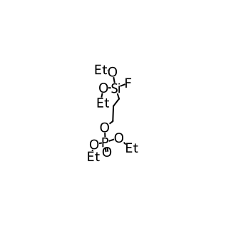 CCO[Si](F)(CCCOP(=O)(OCC)OCC)OCC